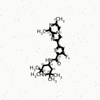 Cc1cn2cc(-c3cc(F)c(C(=O)NC4CC(C)(C)NC(C)(C)C4)s3)nc2c(C)n1